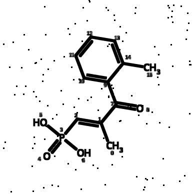 CC(=CP(=O)(O)O)C(=O)c1ccccc1C